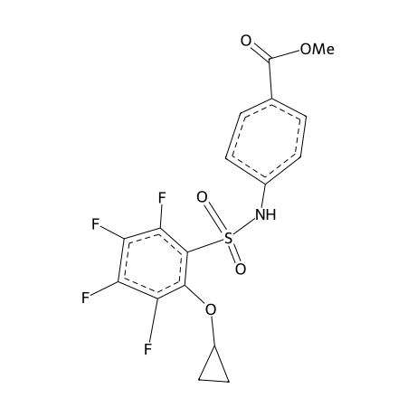 COC(=O)c1ccc(NS(=O)(=O)c2c(F)c(F)c(F)c(F)c2OC2CC2)cc1